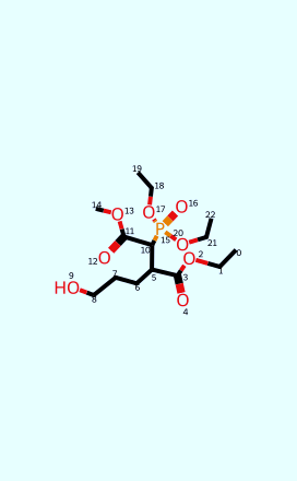 CCOC(=O)C(CCCO)C(C(=O)OC)P(=O)(OCC)OCC